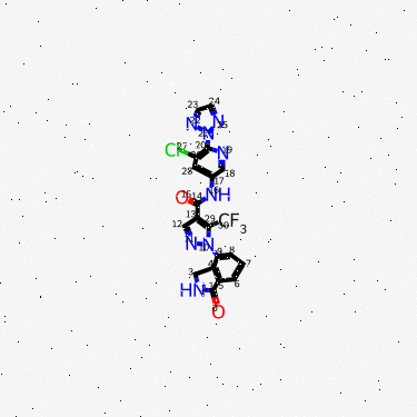 O=C1NCc2c1cccc2-n1ncc(C(=O)Nc2cnc(-n3nccn3)c(Cl)c2)c1C(F)(F)F